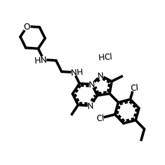 CCc1cc(Cl)c(-c2c(C)nn3c(NCCNC4CCOCC4)cc(C)nc23)c(Cl)c1.Cl